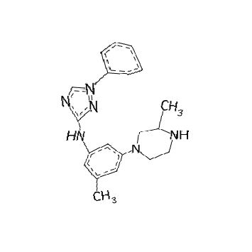 Cc1cc(Nc2ncn(-c3ccccc3)n2)cc(N2CCNC(C)C2)c1